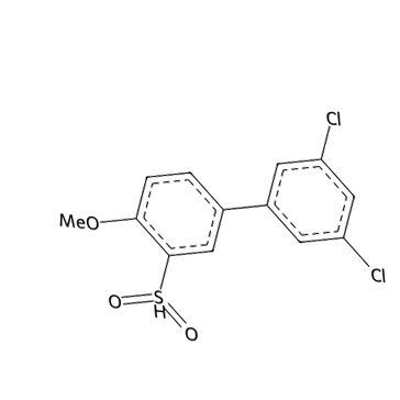 COc1ccc(-c2cc(Cl)cc(Cl)c2)cc1[SH](=O)=O